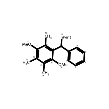 CCCCCC(c1ccccc1)c1c(C)c(OC)c(C)c(C)c1OC